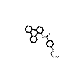 CCCCCCCCCCCOc1ccc(C(=O)Oc2cccc3c4ccccc4c4ccccc4c23)cc1